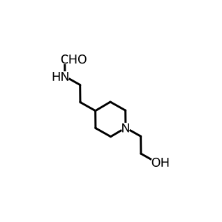 O=CNCCC1CCN(CCO)CC1